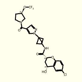 O=C(NC12CC(n3cc(C(=O)N4CC[C@@H](OC(F)(F)F)C4)cn3)(C1)C2)[C@H]1C[C@@H](O)c2cc(Cl)ccc2O1